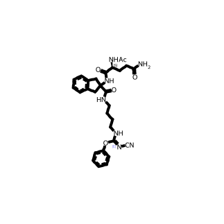 CC(=O)N[C@@H](CCC(N)=O)C(=O)NC1(C(=O)NCCCCN/C(=N\C#N)Oc2ccccc2)Cc2ccccc2C1